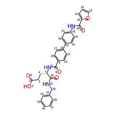 O=C(O)CC[C@H](NC(=O)c1ccc(-c2ccc(NC(=O)c3ccco3)cc2)cc1)C(=O)NCc1ccccc1